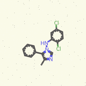 Cc1ncn(Nc2cc(Cl)ccc2Cl)c1-c1ccccc1